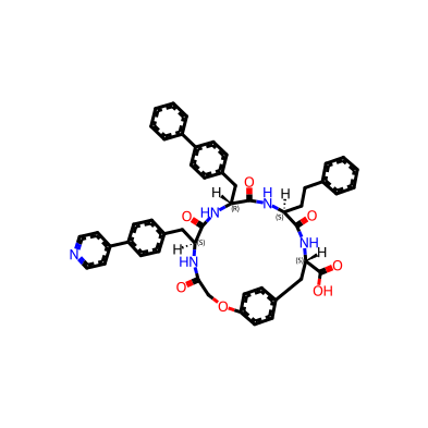 O=C1COc2ccc(cc2)C[C@@H](C(=O)O)NC(=O)[C@H](CCc2ccccc2)NC(=O)[C@@H](Cc2ccc(-c3ccccc3)cc2)NC(=O)[C@H](Cc2ccc(-c3ccncc3)cc2)N1